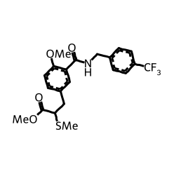 COC(=O)C(Cc1ccc(OC)c(C(=O)NCc2ccc(C(F)(F)F)cc2)c1)SC